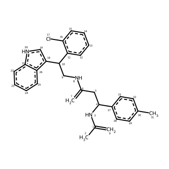 C=C(C)NC(CC(=C)NCC(c1ccccc1Cl)c1c[nH]c2ccccc12)c1ccc(C)cc1